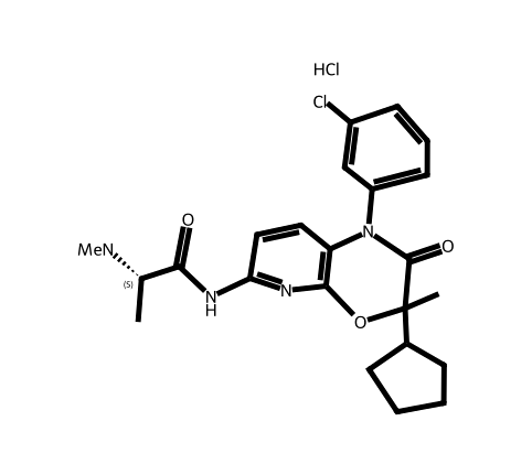 CN[C@@H](C)C(=O)Nc1ccc2c(n1)OC(C)(C1CCCC1)C(=O)N2c1cccc(Cl)c1.Cl